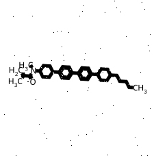 C=C(C)C(=O)N(C)C1CCC(c2ccc(-c3ccc(C4CCC(CCCCC)CC4)cc3)cc2)CC1